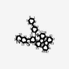 c1ccc(-c2ccc(N(c3ccc4sc5cc6ncccc6cc5c4c3)c3cccc4c3-c3ccccc3C43c4ccccc4-c4ccccc43)cc2)cc1